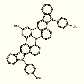 CC(C)(C)c1ccc(-n2c3ccccc3c3cc4c5c(cccc5c32)B2c3c-4cc(C(C)(C)C)cc3-c3cc4c5ccccc5n(-c5ccc(C(C)(C)C)cc5)c4c4cccc2c34)cc1